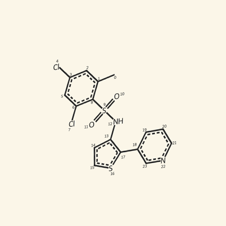 Cc1cc(Cl)cc(Cl)c1S(=O)(=O)Nc1ccsc1-c1cccnc1